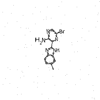 Cc1ccc2nc(-c3nc(Br)cnc3N)[nH]c2c1